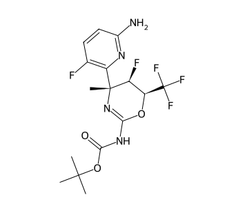 CC(C)(C)OC(=O)NC1=N[C@](C)(c2nc(N)ccc2F)[C@@H](F)[C@@H](C(F)(F)F)O1